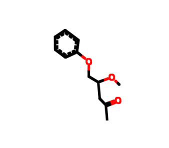 COC(COc1ccccc1)CC(C)=O